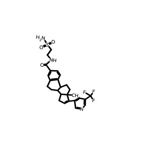 CC12CCC3c4ccc(C(=O)NCCS(N)(=O)=O)cc4CCC3C1CC=C2c1cncc(C(F)(F)F)c1